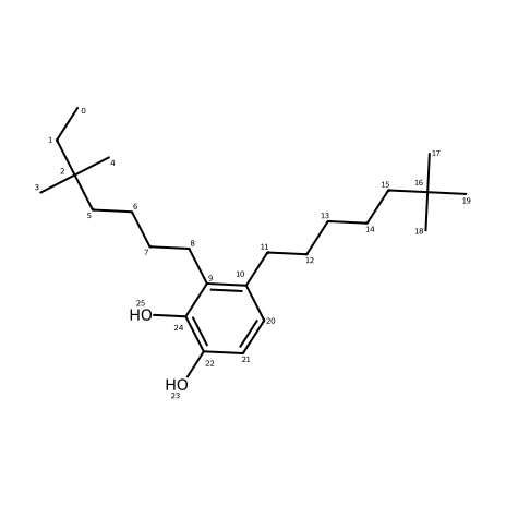 CCC(C)(C)CCCCc1c(CCCCCC(C)(C)C)ccc(O)c1O